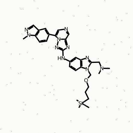 CN(C)Cc1nc2cc(Nc3nc4cncc(-c5ccc6c(cnn6C)c5)n4n3)ccc2n1COCCC[Si](C)(C)C